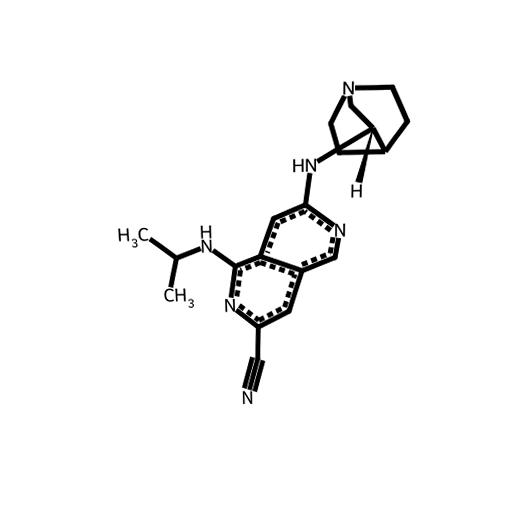 CC(C)Nc1nc(C#N)cc2cnc(N[C@@H]3CN4CCC3CC4)cc12